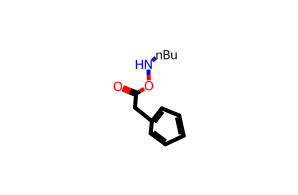 CCCCNOC(=O)Cc1ccccc1